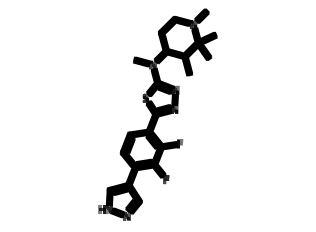 CC1C(N(C)c2nnc(-c3ccc(-c4cn[nH]c4)c(F)c3F)s2)CCN(C)C1(C)C